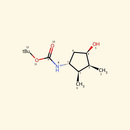 C[C@@H]1[C@H](C)[C@H](O)C[C@H]1NC(=O)OC(C)(C)C